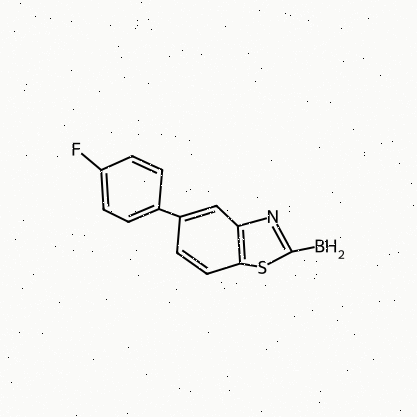 Bc1nc2cc(-c3ccc(F)cc3)ccc2s1